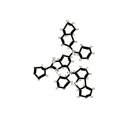 c1ccc(-c2nc3c(N(c4ccccc4)c4cccc5c4sc4ccccc45)cc(N(c4ccccc4)c4ccc5ccccc5c4)cc3o2)cc1